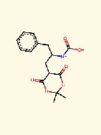 CC1(C)OC(=O)C(CC(Cc2ccccc2)NC(=O)O)C(=O)O1